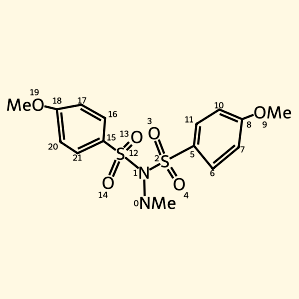 CNN(S(=O)(=O)c1ccc(OC)cc1)S(=O)(=O)c1ccc(OC)cc1